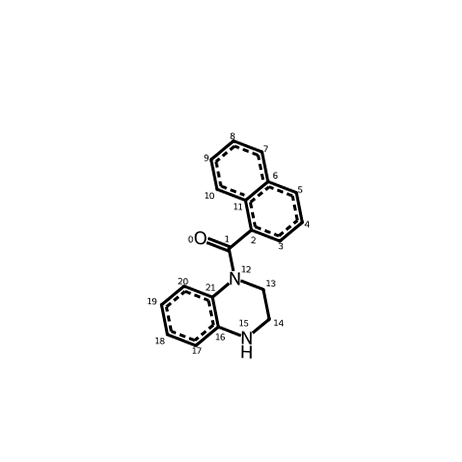 O=C(c1cccc2ccccc12)N1CCNc2ccccc21